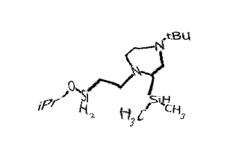 CC(C)O[SiH2]CCN1CCN(C(C)(C)C)CC1[SiH](C)C